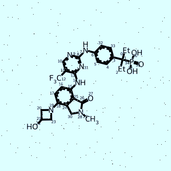 CCC(CC)(c1ccc(Nc2ncc(C(F)(F)F)c(Nc3ccc(N4CC(O)C4)c4c3C(=O)N(C)C4)n2)cc1)P(=O)(O)O